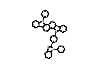 c1ccc(-n2c(-c3ccc(-n4c5ccccc5c5ccc6c(ccc7c8ccccc8n(-c8ccccc8)c76)c54)cc3)nc3ccccc32)cc1